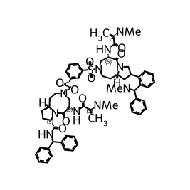 CNC(c1ccccc1)c1ccccc1C1C[C@@H]2CCN(S(=O)(=O)c3cccc(S(=O)(=O)N4CC[C@H]5CC[C@@H](C(=O)NC(c6ccccc6)c6ccccc6)N5C(=O)[C@@H](NC(=O)[C@H](C)NC)C4)c3)C[C@H](NC(=O)[C@H](C)NC)C(=O)N2C1